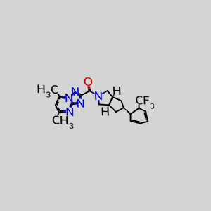 Cc1cc(C)n2nc(C(=O)N3C[C@H]4C[C@@H](C5C=CC=CC5C(F)(F)F)C[C@H]4C3)nc2n1